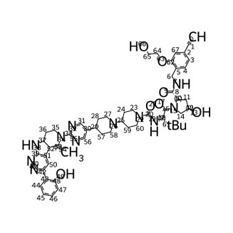 C#Cc1ccc(CNC(=O)[C@@H]2C[C@@H](O)CN2C(=O)[C@@H](NC(=O)N2CCC(N3CCC(c4cnc(N5CCC6Nc7nnc(-c8ccccc8O)cc7C6[C@H]5C)nc4)CC3)CC2)C(C)(C)C)c(OCCO)c1